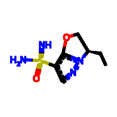 CC[C@@H]1COc2c(S(=N)(N)=O)cnn21